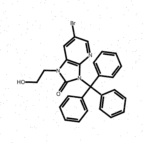 O=c1n(CCO)c2cc(Br)cnc2n1C(c1ccccc1)(c1ccccc1)c1ccccc1